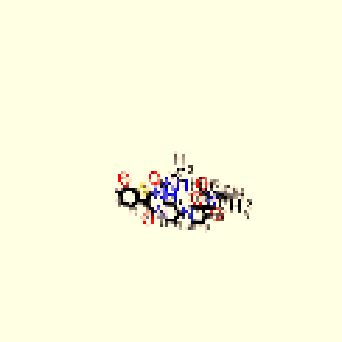 CCNC(=O)Nc1sc2c(c1C(=O)N1CCC(N3CCCC4(C3)OC(=O)N(C(C)(C)C)C4=O)CC1)CCCC2=O